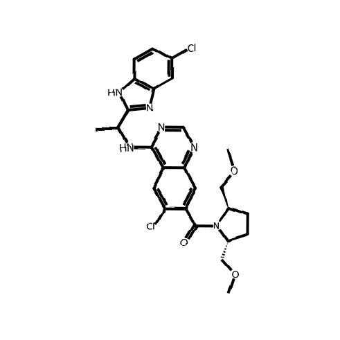 COC[C@H]1CC[C@H](COC)N1C(=O)c1cc2ncnc(NC(C)c3nc4cc(Cl)ccc4[nH]3)c2cc1Cl